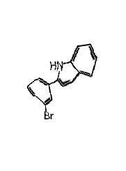 Brc1cccc(-c2cc3ccccc3[nH]2)c1